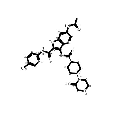 CC(=O)Nc1cnc2c(NC(=O)[C@H]3CC[C@H](N4CCOCC4=O)CC3)c(C(=O)Nc3ccc(Cl)cn3)oc2c1